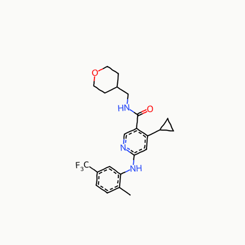 Cc1ccc(C(F)(F)F)cc1Nc1cc(C2CC2)c(C(=O)NCC2CCOCC2)cn1